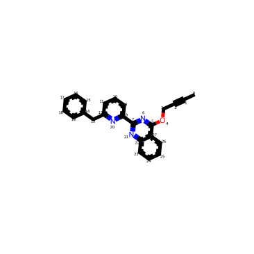 CC#CCOc1nc(-c2cccc(Cc3ccccc3)n2)nc2ccccc12